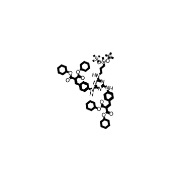 C[Si](C)(C)O[Si](C)(CCCNc1nc(Nc2ccc(C=C(C(=O)OC3CCCCC3)C(=O)OC3CCCCC3)cc2)nc(Nc2ccc(C=C(C(=O)OC3CCCCC3)C(=O)OC3CCCCC3)cc2)n1)O[Si](C)(C)C